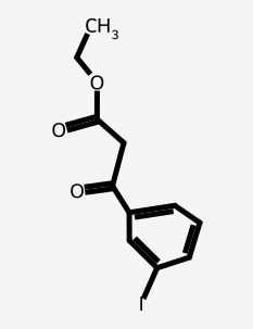 CCOC(=O)CC(=O)c1cccc(I)c1